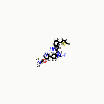 Cc1ccc(-c2cccc3[nH]c(-c4n[nH]c5ccc(-c6cncc(OCCN(C)C)c6)cc45)cc23)s1